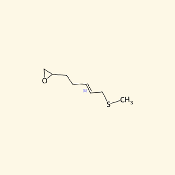 CSC/C=C/CCC1CO1